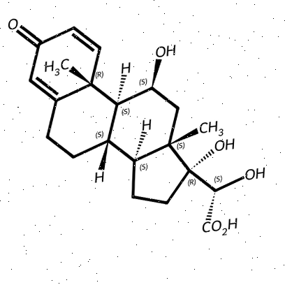 C[C@]12C=CC(=O)C=C1CC[C@@H]1[C@@H]2[C@@H](O)C[C@@]2(C)[C@H]1CC[C@]2(O)[C@H](O)C(=O)O